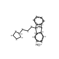 Cl.c1ccc2c(c1)C1CC2(CCCN2CCCC2)c2ccccc21